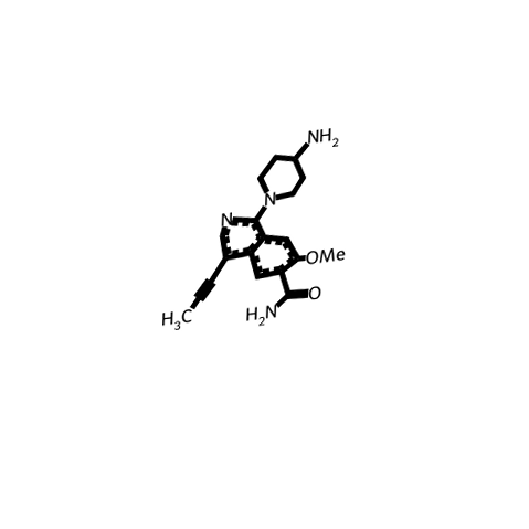 CC#Cc1cnc(N2CCC(N)CC2)c2cc(OC)c(C(N)=O)cc12